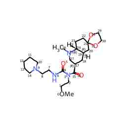 COCCN(C(=O)NCCN1CCCCC1)C(=O)[C@@H]1C[C@@H]2CC3(CC[C@H]2N(C)C1)OCCO3